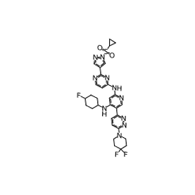 O=S(=O)(C1CC1)n1cc(-c2nccc(Nc3cc(NC4CCC(F)CC4)c(-c4ccc(N5CCC(F)(F)CC5)nn4)cn3)n2)cn1